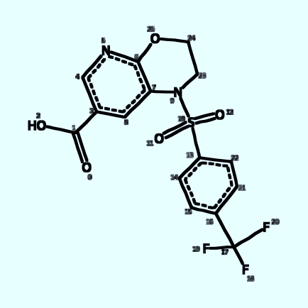 O=C(O)c1cnc2c(c1)N(S(=O)(=O)c1ccc(C(F)(F)F)cc1)CCO2